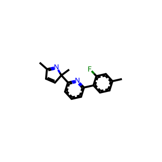 CC1=NC(C)(c2cccc(-c3ccc(C)cc3F)n2)C=C1